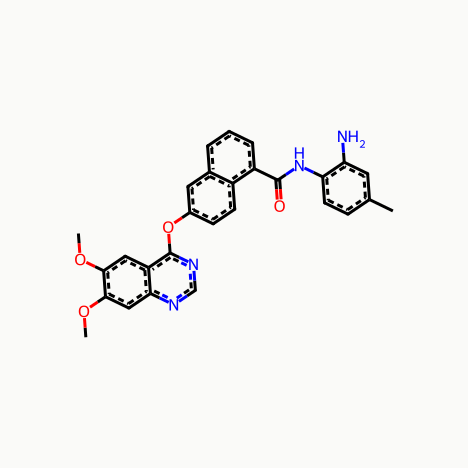 COc1cc2ncnc(Oc3ccc4c(C(=O)Nc5ccc(C)cc5N)cccc4c3)c2cc1OC